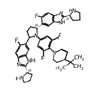 CC(C)(C)C1CCN(c2c(F)cc(N3C(c4cc5[nH]c([C@@H]6CCCN6)nc5cc4F)CC[C@@H]3c3cc4[nH]c([C@@H]5CCCN5)nc4cc3F)cc2F)CC1